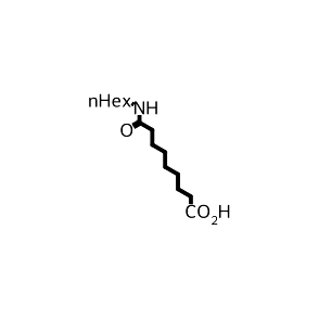 CCCCCCNC(=O)CCCCCCCC(=O)O